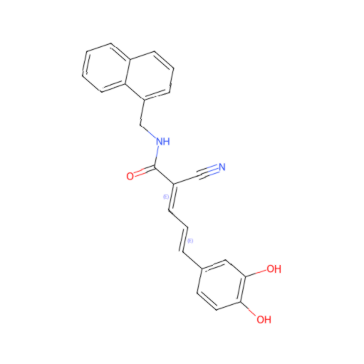 N#C/C(=C\C=C\c1ccc(O)c(O)c1)C(=O)NCc1cccc2ccccc12